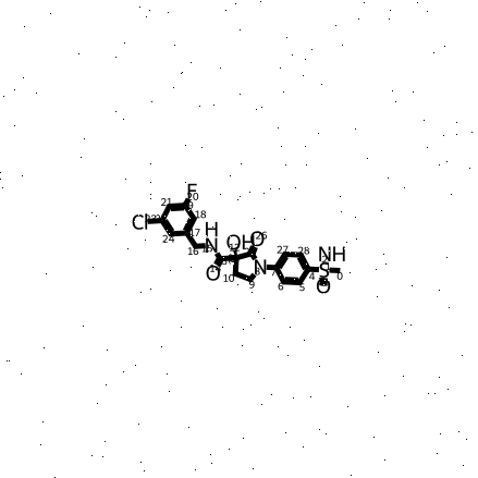 CS(=N)(=O)c1ccc(N2CC[C@](O)(C(=O)NCc3cc(F)cc(Cl)c3)C2=O)cc1